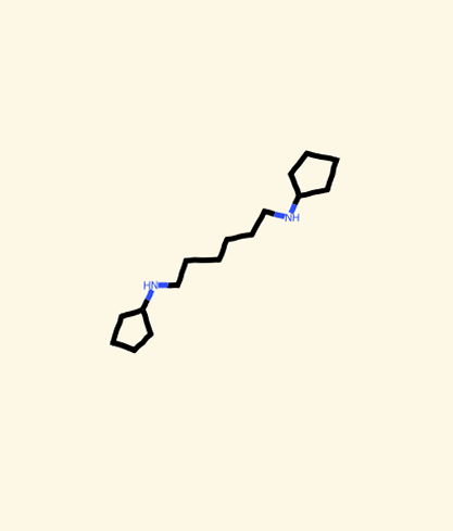 C(CCCNC1CCCC1)CCNC1CCCC1